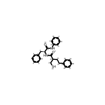 O=C(N[C@@H](Cc1ccccc1)C(=O)Nc1ccccc1)C(CS)CCc1ccccc1